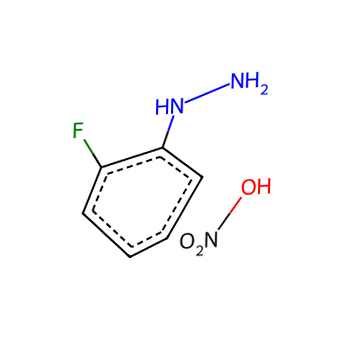 NNc1ccccc1F.O=[N+]([O-])O